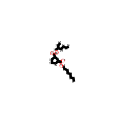 CCCCCCCCOC(=O)C1CCCC(C(=O)OCC(CC)CCCC)C1